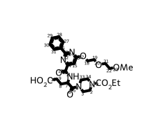 CCOC(=O)N1CCN(C(=O)C(CCC(=O)O)NC(=O)c2cc(OCCOCCOC)nc(-c3ccccc3)n2)CC1